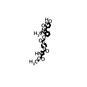 CCOC(=O)c1cc(C(=O)N2CCN(C(=O)COc3cccc4c(C5CCC(=O)NC5=O)nn(C)c34)CC2)c[nH]1